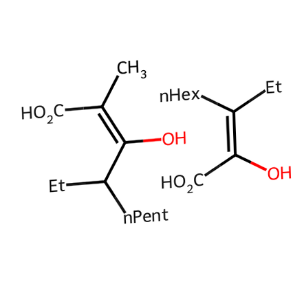 CCCCCC(CC)/C(O)=C(/C)C(=O)O.CCCCCC/C(CC)=C(/O)C(=O)O